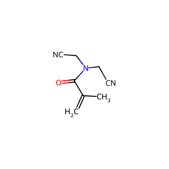 C=C(C)C(=O)N(CC#N)CC#N